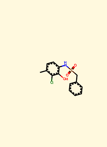 Cc1ccc(NS(=O)(=O)Cc2ccccc2)c(O)c1Cl